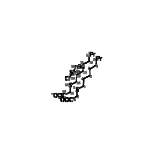 CC(C)CCCCCSCC(=O)[O-].CC(C)CCCCCSCC(=O)[O-].CCC[CH2][Sn+2][Cl]